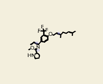 C/C=C(\N=C(/OC)C1CCCN1)c1ccc(OC/C=C(\C)CCC=C(C)C)c(C(F)(F)F)c1